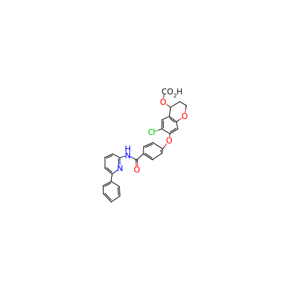 O=C(O)OC1CCOc2cc(Oc3ccc(C(=O)Nc4cccc(-c5ccccc5)n4)cc3)c(Cl)cc21